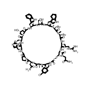 CCCC[C@H]1C(=O)N(C)[C@@H](CCCC)C(=O)N[C@@H](CCCNC(=N)N)C(=O)N[C@H](C(=O)NCC(N)=O)CSCC(=O)N[C@@H](Cc2ccc(Cl)cc2)C(=O)N(C)[C@@H](C)C(=O)N[C@@H](CC(N)=O)C(=O)N2CCC[C@H]2C(=O)N[C@@H](Cc2cnc[nH]2)C(=O)N[C@@H](CC(C)C)C(=O)N2C[C@H](O)CC2C(=O)N[C@@H](Cc2c[nH]c3ccccc23)C(=O)N[C@@H](CO)C(=O)N[C@@H](Cc2c[nH]c3ccccc23)C(=O)N1C